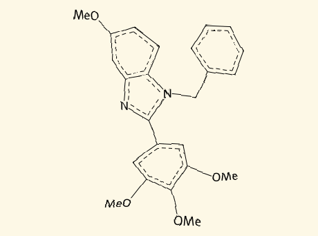 COc1ccc2c(c1)nc(-c1cc(OC)c(OC)c(OC)c1)n2Cc1ccccc1